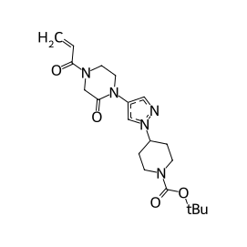 C=CC(=O)N1CCN(c2cnn(C3CCN(C(=O)OC(C)(C)C)CC3)c2)C(=O)C1